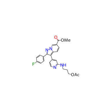 COC(=O)c1ccc2c(-c3ccnc(NCCCOC(C)=O)c3)c(-c3ccc(F)cc3)nn2c1